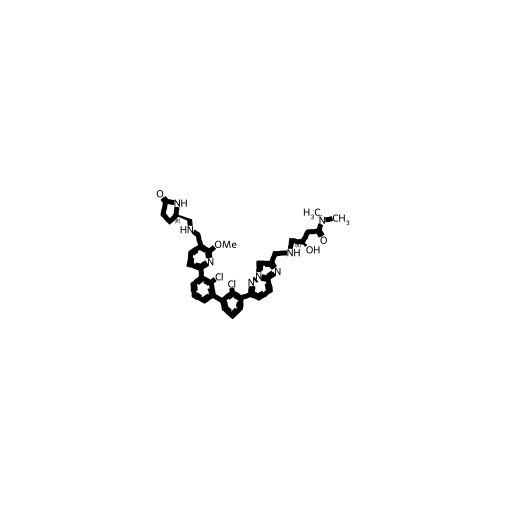 COc1nc(-c2cccc(-c3cccc(-c4ccc5nc(CNC[C@H](O)CC(=O)N(C)C)cn5n4)c3Cl)c2Cl)ccc1CNC[C@H]1CCC(=O)N1